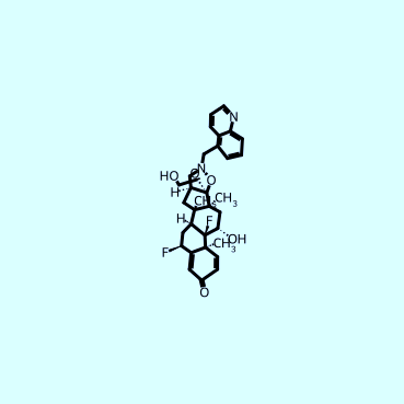 C[C@]12C[C@H](O)[C@@]3(F)[C@@H](C[C@H](F)C4=CC(=O)C=C[C@@]43C)[C@]1(C)C[C@H]1CN(Cc3cccc4ncccc34)O[C@]12C(=O)CO